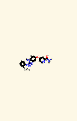 CSc1ccccc1Nc1nc2cc(Oc3ccnc(C(=O)N(C)C)c3)ccc2n1C